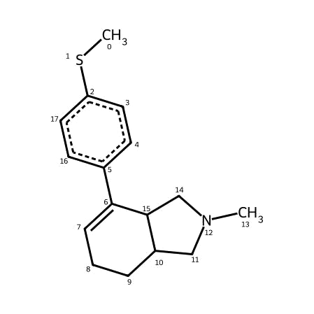 CSc1ccc(C2=CCCC3CN(C)CC23)cc1